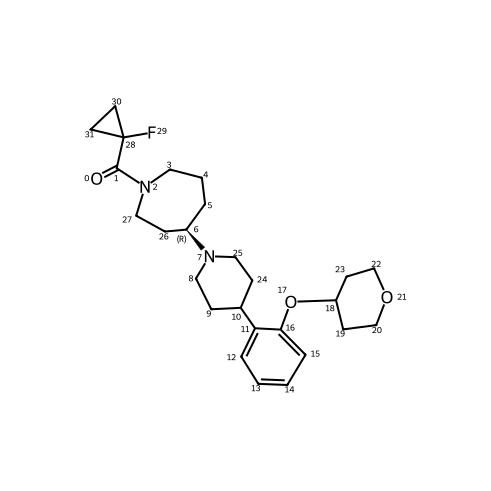 O=C(N1CCC[C@@H](N2CCC(c3ccccc3OC3CCOCC3)CC2)CC1)C1(F)CC1